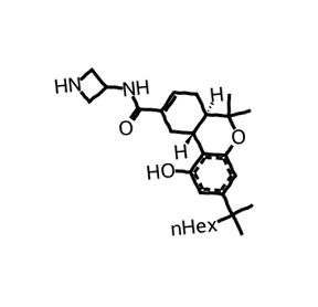 CCCCCCC(C)(C)c1cc(O)c2c(c1)OC(C)(C)[C@@H]1CC=C(C(=O)NC3CNC3)C[C@@H]21